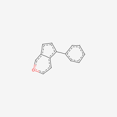 [c]1cccc(-c2ccc3coccc2-3)c1